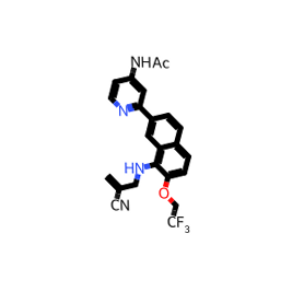 C=C(C#N)CNc1c(OCC(F)(F)F)ccc2ccc(-c3cc(NC(C)=O)ccn3)cc12